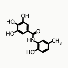 Cc1ccc(O)c(NC(=O)c2cc(O)c(O)c(O)c2)c1